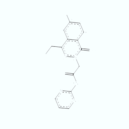 CCc1nn(CC(=O)Nc2ncccn2)c(=O)c2ccc(Br)cc12